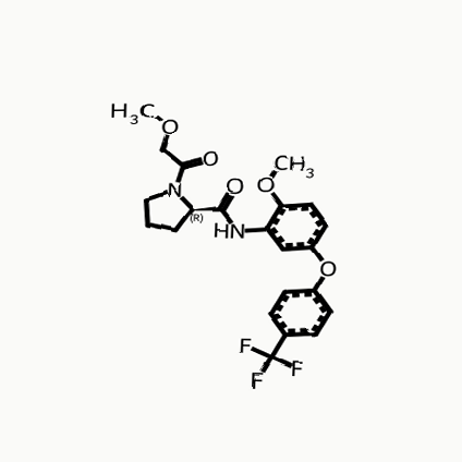 COCC(=O)N1CCC[C@@H]1C(=O)Nc1cc(Oc2ccc(C(F)(F)F)cc2)ccc1OC